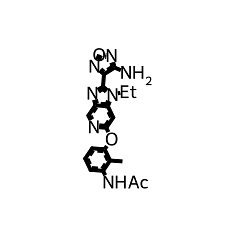 CCn1c(-c2nonc2N)nc2cnc(Oc3cccc(NC(C)=O)c3C)cc21